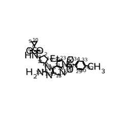 CC[C@H]1C[C@H](NS(=O)(=O)C2CC2)C[C@H]1n1c(N)nc2cnc3c(ccn3S(=O)(=O)c3ccc(C)cc3)c21